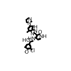 COc1ccc(C(O)CNc2cc[nH]c(=O)c2-c2nc3c(C)cc(N4C=NCCC4)cc3[nH]2)cc1Cl